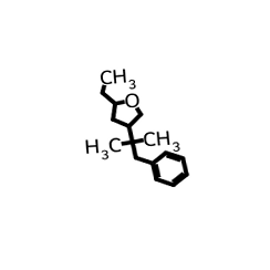 CCC1CC(C(C)(C)Cc2ccccc2)CO1